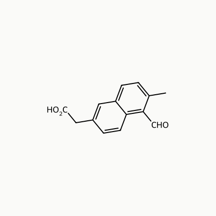 Cc1ccc2cc(CC(=O)O)ccc2c1C=O